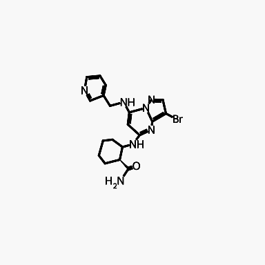 NC(=O)[C@H]1CCCCC1Nc1cc(NCc2cccnc2)n2ncc(Br)c2n1